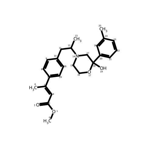 COC(=O)C=C(C)c1ccc(CC(C)N2CCOC(O)(c3cccc(C)c3)C2)cc1